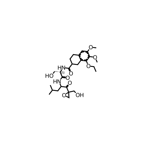 CCOc1c2c(cc(OC)c1OC)CCC(C(=O)N[C@@H](CO)C(=O)NC(CC(C)C)C(=O)C1(CO)CO1)C2